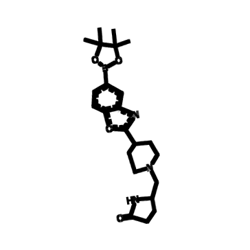 CC1(C)OB(c2ccc3oc(C4CCN(CC5CCC(=O)N5)CC4)nc3c2)OC1(C)C